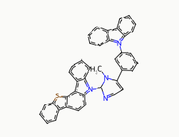 CN1C(c2cccc(-n3c4ccccc4c4ccccc43)c2)=CC=NC1n1c2ccccc2c2c3sc4ccccc4c3ccc21